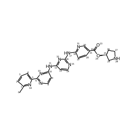 Cc1cccc(-c2nccc(Nc3ccnc(Nc4ccc(C(=O)O[C@H]5CCNC5)cn4)n3)n2)n1